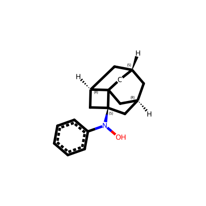 ON(c1ccccc1)[C@@]12C[C@@H]3C[C@H]4C[C@H](C1)C2(C3)C4